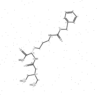 COC(=O)[C@H](CCCCNC(=O)OCc1ccccc1)NC(=O)CN(CC(=O)O)CC(=O)O